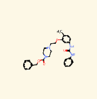 Cc1ccc(NC(=O)Nc2ccccc2)cc1OCCN1CCN(C(=O)OCc2ccccc2)CC1